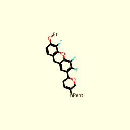 CCCCCC1=CCC(c2cc3c(c(F)c2F)Oc2c(ccc(OCC)c2F)C3)OC1